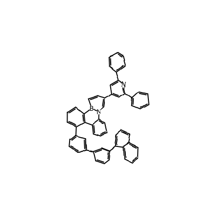 C1=CC(c2cc(-c3ccccc3)nc(-c3ccccc3)c2)=CN2B1c1cccc(-c3cccc(-c4cccc(-c5cccc6ccccc56)c4)c3)c1-c1ccccc12